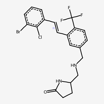 O=C1CCC(CNCc2ccc(C(F)(F)F)c(/C=C/c3cccc(Br)c3Cl)c2)N1